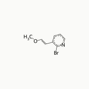 COC=Cc1cccnc1Br